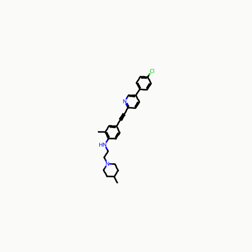 Cc1cc(C#Cc2ccc(-c3ccc(Cl)cc3)cn2)ccc1NCCN1CCC(C)CC1